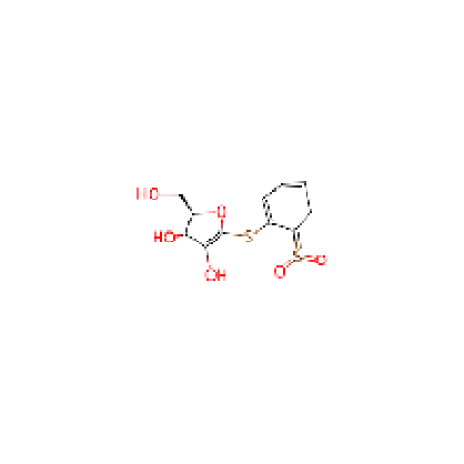 O=S(=O)=C1CC=CC=C1SC1=C(O)[C@@H](O)[C@@H](CO)O1